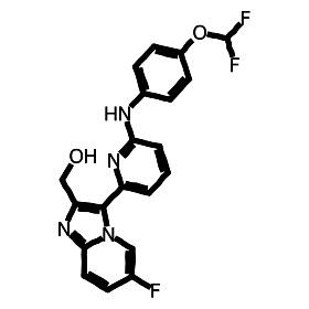 OCc1nc2ccc(F)cn2c1-c1cccc(Nc2ccc(OC(F)F)cc2)n1